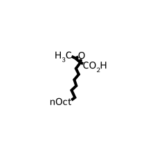 CCCCCCCCCCCCCCC1(C(=O)O)OC1C